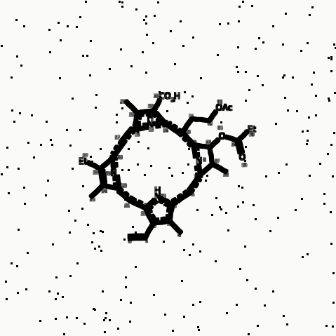 C=Cc1c(C)c2cc3nc(c(CCOC(C)=O)c4[nH]c(cc5nc(cc1[nH]2)C(C)=C5CC)c(C)c4C(=O)O)C(OC(=O)CC)C3C